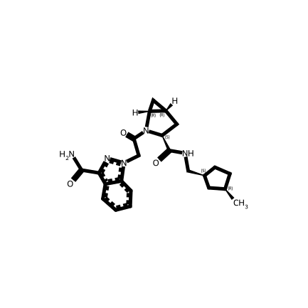 C[C@@H]1CC[C@H](CNC(=O)[C@@H]2C[C@H]3C[C@H]3N2C(=O)Cn2nc(C(N)=O)c3ccccc32)C1